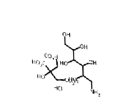 Cl.NCC(O)C(O)C(O)C(O)CO.O=C(O)CC(O)(CC(=O)O)C(=O)O